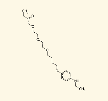 CCNc1ccc(OCCCCOCCOCCOCC(=O)CC)cc1